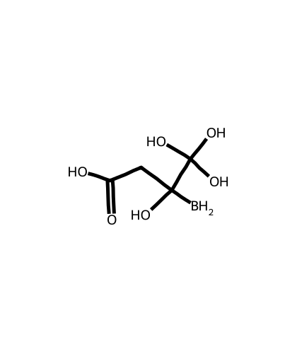 BC(O)(CC(=O)O)C(O)(O)O